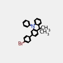 CC1(C)c2ccccc2N(c2ccccc2)c2cc(-c3ccc(Br)cc3)ccc21